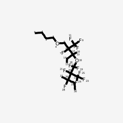 CCCCOCC(F)(C(F)(F)F)C(C)(CC)OC(F)(F)C(F)(C(F)(F)F)C(C)(F)CC